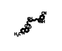 Cc1ccc2c3c(ccc2n1)OCC(CN(C)CCCCc1c[nH]c2ccc(C#N)cc12)O3